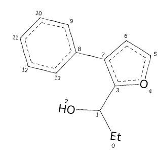 CCC(O)c1occc1-c1ccccc1